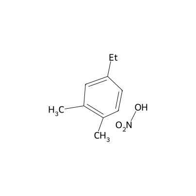 CCc1ccc(C)c(C)c1.O=[N+]([O-])O